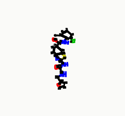 Cc1cccc(Cl)c1NC(=O)c1ccc2nc(NC(=O)NCc3ccco3)sc2c1